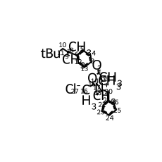 CC(Oc1ccc(C(C)(C)CC(C)(C)C)cc1)OC(C)[N+](C)(C)Cc1ccccc1.[Cl-]